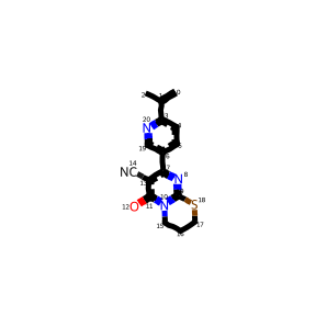 C=C(C)c1ccc(-c2nc3n(c(=O)c2C#N)CCCS3)cn1